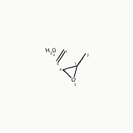 C=C.CC1CO1.O